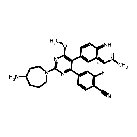 CN/C=C1/C=C(c2c(OC)nc(N3CCCC(N)CC3)nc2-c2ccc(C#N)c(F)c2)C=CC1=N